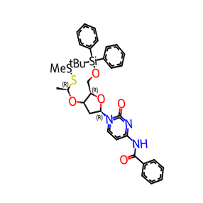 CSS[C@H](C)OC1C[C@H](n2ccc(NC(=O)c3ccccc3)nc2=O)O[C@@H]1CO[Si](c1ccccc1)(c1ccccc1)C(C)(C)C